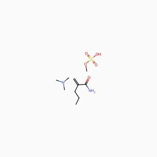 C=C(CCC)C(N)=O.CN(C)C.COS(=O)(=O)O